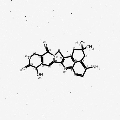 CC1(C)Cc2c(N)ccc3nc4c(c(c23)C1)Cn1c-4cc2c(c1=O)COC(=O)C2O